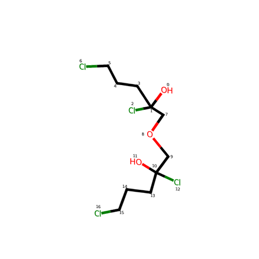 OC(Cl)(CCCCl)COCC(O)(Cl)CCCCl